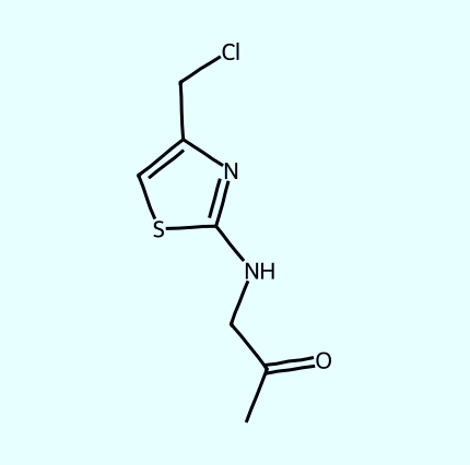 CC(=O)CNc1nc(CCl)cs1